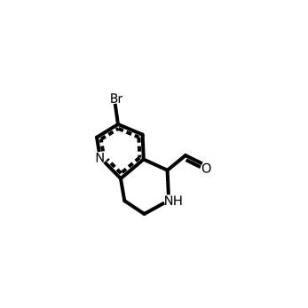 O=CC1NCCc2ncc(Br)cc21